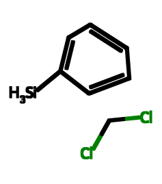 ClCCl.[SiH3]c1ccccc1